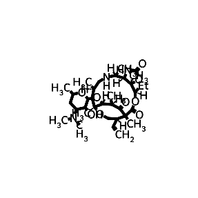 C=C[C@H]1CO[C@@]2(C)C[C@@H](C)CN[C@H](C)[C@H]3NC(=O)O[C@]3(C)[C@@H](CC)OC(=O)C1(C)C(=O)[C@H](C)[C@H]2OC1OC(C)CC(N(C)C)C1O